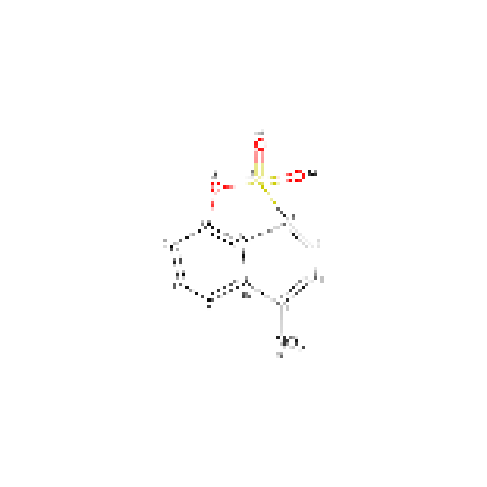 O=[N+]([O-])c1ccc2c3c(cccc13)OS2(=O)=O